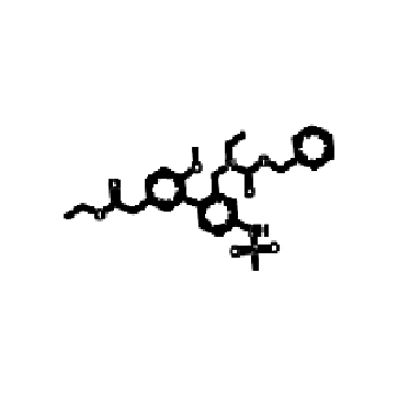 CCOC(=O)Cc1ccc(OC)c(-c2ccc(NS(C)(=O)=O)cc2CN(CC)C(=O)OCc2ccccc2)c1